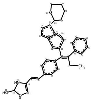 CC/C(=C(\c1ccc(C=CC2=NOC(O)N2)cc1)c1ccc2c(cnn2C2CCCCO2)c1)c1ccccc1